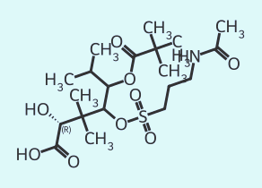 CC(=O)NCCCS(=O)(=O)OC(C(OC(=O)C(C)(C)C)C(C)C)C(C)(C)[C@@H](O)C(=O)O